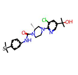 C[C@@H]1CN(c2ncc(C(C)(C)O)cc2Cl)CCN1C(=O)Nc1ccc([Si](C)(C)C)cc1